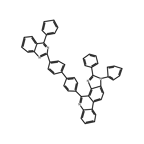 c1ccc(-c2nc(-c3ccc(-c4ccc(-c5nc6ccccc6c6ccc7c(nc(-c8ccccc8)n7-c7ccccc7)c56)cc4)cc3)nc3ccccc23)cc1